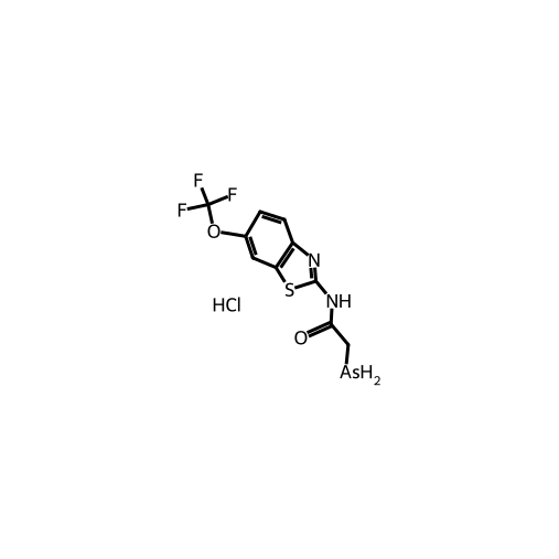 Cl.O=C(C[AsH2])Nc1nc2ccc(OC(F)(F)F)cc2s1